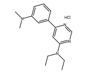 CCN(CC)c1cc(-c2cccc(N(C)C)c2)ncn1.Cl